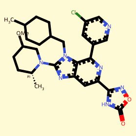 COC1CC[C@@H](C)N(c2nc3cc(-c4noc(=O)[nH]4)nc(-c4cncc(Cl)c4)c3n2CC2CCC(C)CC2)C1